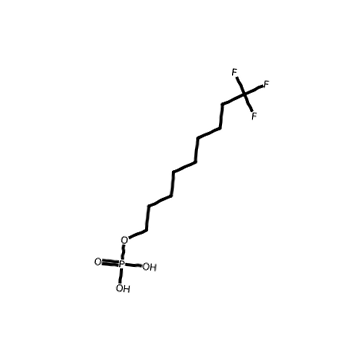 O=P(O)(O)OCCCCCCCCC(F)(F)F